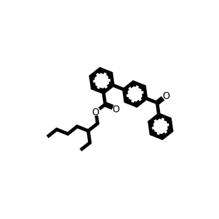 CCCCC(CC)COC(=O)c1ccccc1-c1ccc(C(=O)c2ccccc2)cc1